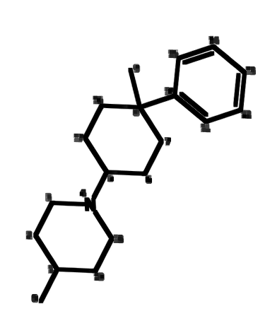 CC1CCN(C2CCC(C)(c3ccccc3)CC2)CC1